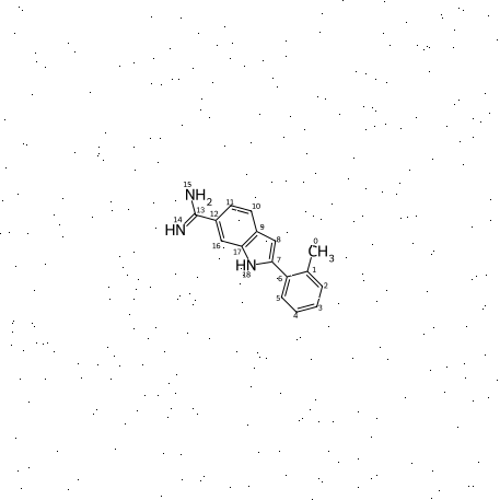 Cc1ccccc1-c1cc2ccc(C(=N)N)cc2[nH]1